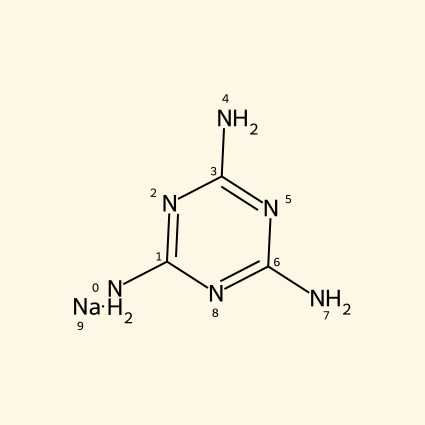 Nc1nc(N)nc(N)n1.[Na]